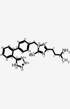 CCC(C)c1nc(CCC(C)N)nn1Cc1ccc(-c2ccccc2-c2nnn[nH]2)cc1